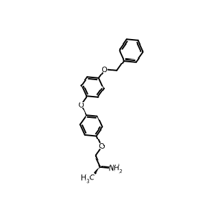 C[C@H](N)COc1ccc(Oc2ccc(OCc3ccccc3)cc2)cc1